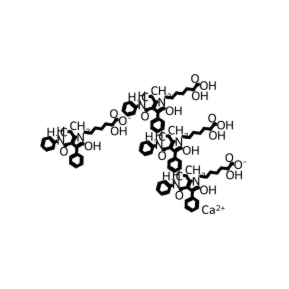 CC(C)c1c(C(=O)Nc2ccccc2)c(-c2ccccc2)c(O)n1CCCCCC(O)C(=O)O.CC(C)c1c(C(=O)Nc2ccccc2)c(-c2ccccc2)c(O)n1CCCCCC(O)C(=O)O.CC(C)c1c(C(=O)Nc2ccccc2)c(-c2ccccc2)c(O)n1CCCCCC(O)C(=O)[O-].CC(C)c1c(C(=O)Nc2ccccc2)c(-c2ccccc2)c(O)n1CCCCCC(O)C(=O)[O-].[Ca+2]